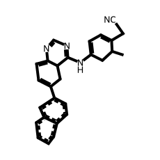 CC1CC(NC2=NC=NC3=CC=C(c4ccc5ccccc5c4)CC32)=CC=C1CC#N